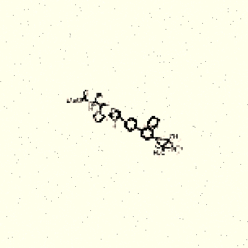 COC(=O)N[C@H](C(=O)N1CCC[C@H]1c1ncc(-c2ccc(-c3ccc(B4OC(C)(C)C(C)(C)O4)c4c3C3CCC4N3)cc2)[nH]1)C(C)C